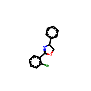 Brc1ccccc1C1=NC(c2ccccc2)CO1